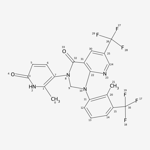 Cc1[nH]c(=O)ccc1N1CN(c2cccc(C(F)(F)F)c2C)c2ncc(C(F)(F)F)cc2C1=O